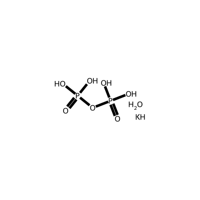 O.O=P(O)(O)OP(=O)(O)O.[KH]